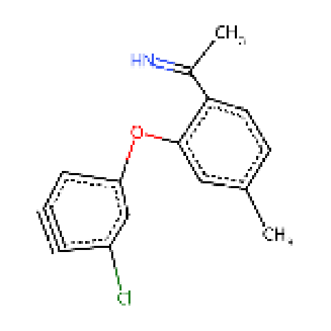 CC(=N)c1ccc(C)cc1Oc1cc#cc(Cl)c1